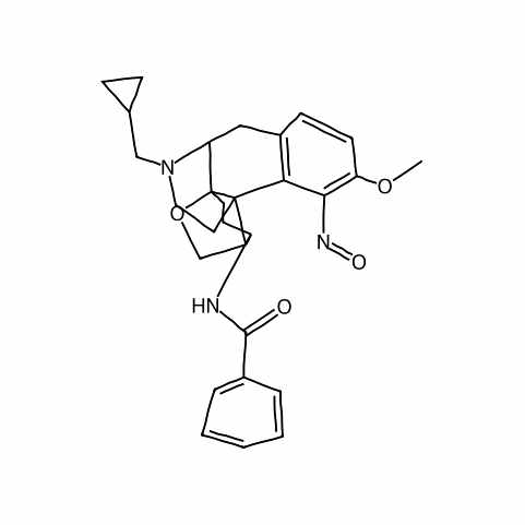 COc1ccc2c(c1N=O)C13CCN(CC4CC4)C(C2)C12CCC(NC(=O)c1ccccc1)C3CO2